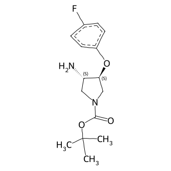 CC(C)(C)OC(=O)N1C[C@H](Oc2ccc(F)cc2)[C@@H](N)C1